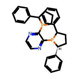 c1ccc(C2CCCP2c2nccnc2P2C(c3ccccc3)CC[C@@H]2c2ccccc2)cc1